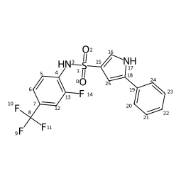 O=S(=O)(Nc1ccc(C(F)(F)F)cc1F)c1c[nH]c(-c2ccccc2)c1